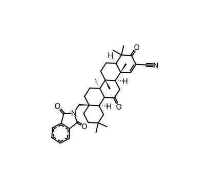 CC1(C)CC[C@]2(CN3C(=O)c4ccccc4C3=O)CC[C@]3(C)C(C(=O)C[C@@H]4[C@@]5(C)C=C(C#N)C(=O)C(C)(C)[C@@H]5CC[C@]43C)[C@H]2C1